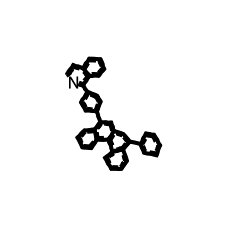 c1ccc(-c2cc3cc(-c4ccc(-c5nccc6ccccc56)cc4)c4ccccc4c3c3ccccc23)cc1